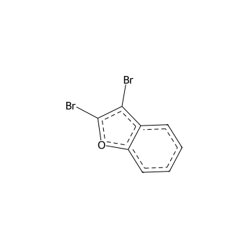 Brc1oc2ccccc2c1Br